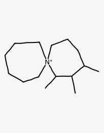 CC1CCC[N+]2(CCCCCC2)C(C)C1C